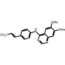 CCOC(=O)/C=C/c1ccc(Nc2ncnc3cc(OC)c(OC)cc23)cc1